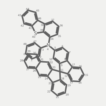 c1ccc(N(c2ccc3c(c2)C2(c4ccccc4-3)c3ccccc3-c3cc4ccccc4cc32)c2cccc3c2sc2ccccc23)cc1